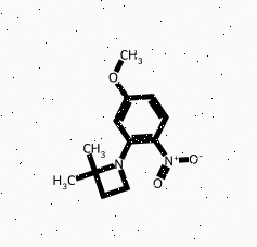 COc1ccc([N+](=O)[O-])c(N2CCC2(C)C)c1